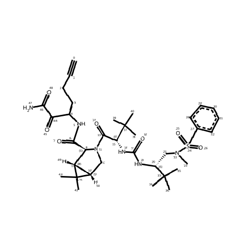 C#CCCC(NC(=O)[C@@H]1[C@@H]2[C@H](CN1C(=O)[C@@H](NC(=O)N[C@H](CN(C)S(=O)(=O)c1ccccc1)C(C)(C)C)C(C)(C)C)C2(C)C)C(=O)C(N)=O